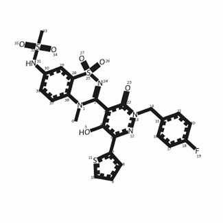 CN1C(c2c(O)c(-c3cccs3)nn(Cc3ccc(F)cc3)c2=O)=NS(=O)(=O)c2cc(NS(C)(=O)=O)ccc21